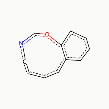 c1ccc2ccccc2ocnc1